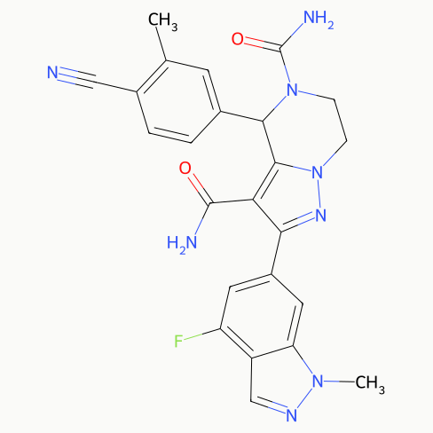 Cc1cc(C2c3c(C(N)=O)c(-c4cc(F)c5cnn(C)c5c4)nn3CCN2C(N)=O)ccc1C#N